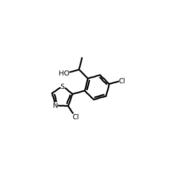 CC(O)c1cc(Cl)ccc1-c1scnc1Cl